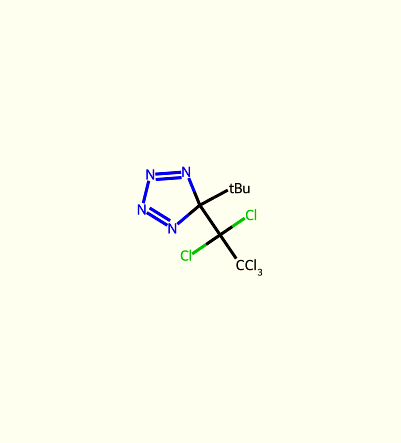 CC(C)(C)C1(C(Cl)(Cl)C(Cl)(Cl)Cl)N=NN=N1